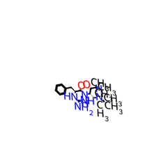 CC(C)(C)NC[C@H](NC(=O)[C@H](Cc1ccccc1)NC(=N)N)C(=O)C(C)(C)C